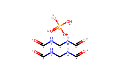 O=CNCNC=O.O=CNCNC=O.O=P(O)(O)O